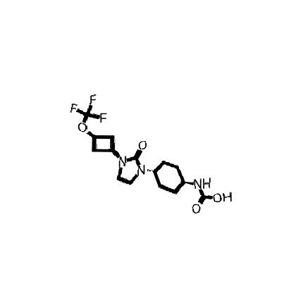 O=C(O)N[C@H]1CC[C@H](N2CCN(C3CC(OC(F)(F)F)C3)C2=O)CC1